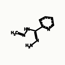 C=NN/C(=N\N)c1ccccn1